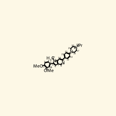 COc1ccc(-c2cc3cnc(-c4ccc(N5CCN(C(C)C)CC5)cc4)cc3n2C)cc1OC